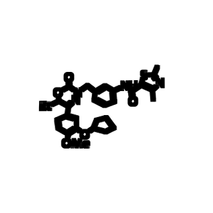 CCC1OC(=O)N(Cc2cccc(NC(=O)c3sc(C)nc3C)c2)N=C1c1ccc(OC)c(OC2CCCC2)c1